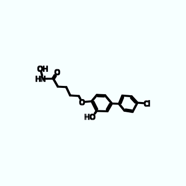 O=C(CCCCOc1ccc(-c2ccc(Cl)cc2)cc1O)NO